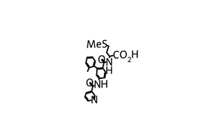 CSCCC(NC(=O)c1ccc(NC(=O)c2cccnc2)cc1-c1ccccc1C)C(=O)O